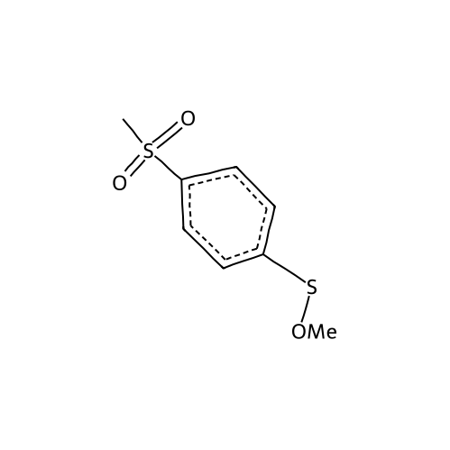 COSc1ccc(S(C)(=O)=O)cc1